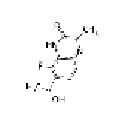 Cc1nc2ccc(C(C)O)c(F)c2[nH]c1=O